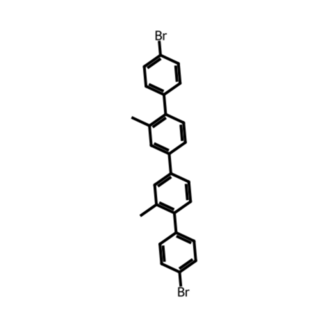 Cc1cc(-c2ccc(-c3ccc(Br)cc3)c(C)c2)ccc1-c1ccc(Br)cc1